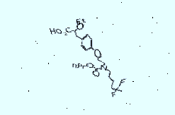 CCCOC(=O)N(CCCCC(C)(F)F)CCOc1ccc(CC(OCC)C(=O)O)cc1